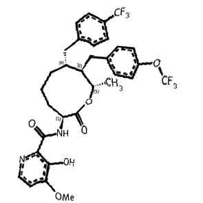 COc1ccnc(C(=O)N[C@H]2CCC[C@H](Cc3ccc(C(F)(F)F)cc3)[C@@H](Cc3ccc(OC(F)(F)F)cc3)[C@H](C)OC2=O)c1O